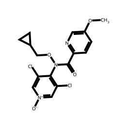 COc1ccc(C(=O)N(OCC2CC2)c2c(Cl)c[n+]([O-])cc2Cl)nc1